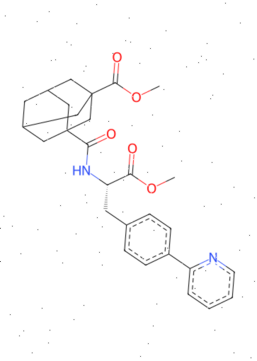 COC(=O)[C@H](Cc1ccc(-c2ccccn2)cc1)NC(=O)C12CC3CC(C1)CC(C(=O)OC)(C3)C2